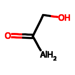 O=[C]([AlH2])CO